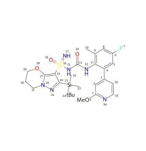 COc1cc(-c2cc(F)cc(C)c2NC(=O)NS(=N)(=O)c2c([Si](C)(C)C(C)(C)C)nn3c2OCCC3)ccn1